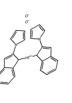 C1=C(n2cccc2)[CH]([Hf+2][CH]2C(n3cccc3)=Cc3ccccc32)c2ccccc21.[Cl-].[Cl-]